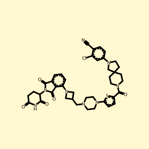 N#Cc1ccc(N2CCC3(CCN(C(=O)c4ccc(N5CCN(CC6CN(c7cccc8c7C(=O)N(C7CCC(=O)NC7=O)C8=O)C6)CC5)s4)CC3)C2)cc1Cl